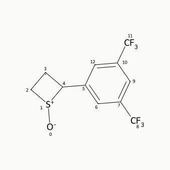 [O-][S+]1C[CH]C1c1cc(C(F)(F)F)cc(C(F)(F)F)c1